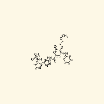 COCCOc1c(Nc2ccccc2)cc(C(=O)Nc2nnc(-n3nccc3NC(C)=O)s2)oc1=O